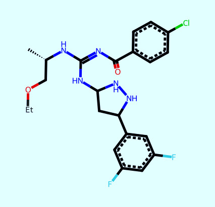 CCOC[C@H](C)N/C(=N/C(=O)c1ccc(Cl)cc1)NC1CC(c2cc(F)cc(F)c2)NN1